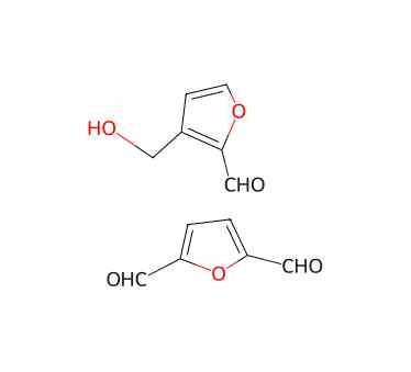 O=Cc1ccc(C=O)o1.O=Cc1occc1CO